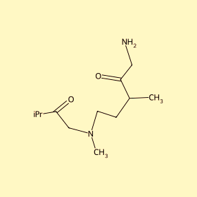 CC(C)C(=O)CN(C)CCC(C)C(=O)CN